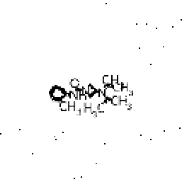 Cc1ccccc1NC(=O)N1CC(N(C(C)C)C(C)C)C1